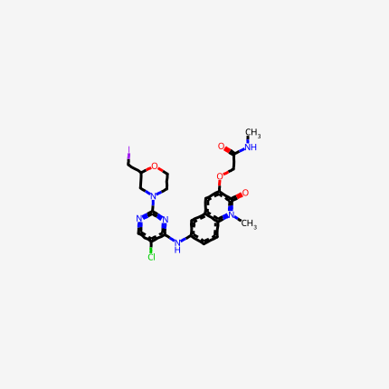 CNC(=O)COc1cc2cc(Nc3nc(N4CCOC(CI)C4)ncc3Cl)ccc2n(C)c1=O